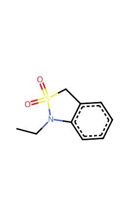 CCN1c2ccccc2CS1(=O)=O